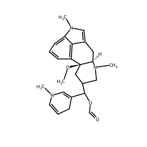 CO[C@]12CC(C(OC=O)C3=CN(C)C=CC3)CN(C)[C@@H]1Cc1cn(C)c3cccc2c13